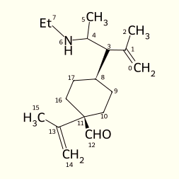 C=C(C)C(C(C)NCC)[C@H]1CC[C@](C=O)(C(=C)C)CC1